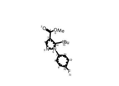 COC(=O)c1cnn(-c2ccc(F)cc2)c1C(C)(C)C